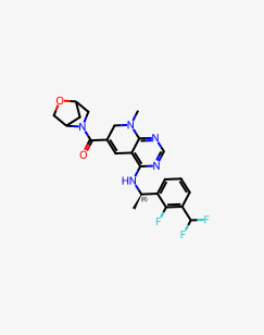 C[C@@H](Nc1ncnc2c1C=C(C(=O)N1CC3CC1CO3)CN2C)c1cccc(C(F)F)c1F